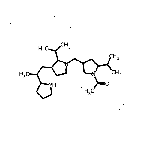 CC(=O)N1CC(CN2CCC(CC(C)C3CCCN3)C2C(C)C)CC1C(C)C